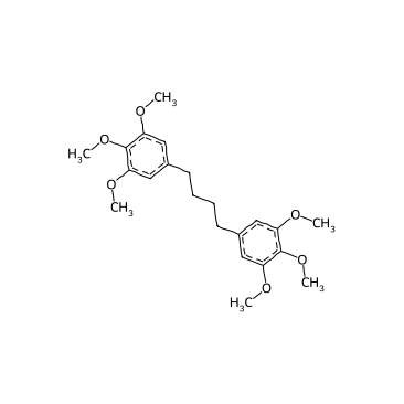 COc1cc(CCCCc2cc(OC)c(OC)c(OC)c2)cc(OC)c1OC